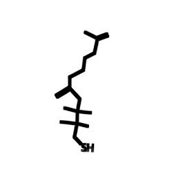 C=C(C)CCCCC(=C)CC(C)(C)C(C)(C)CS